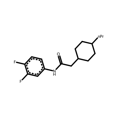 CCCC1CCC(CC(=O)Nc2ccc(F)c(F)c2)CC1